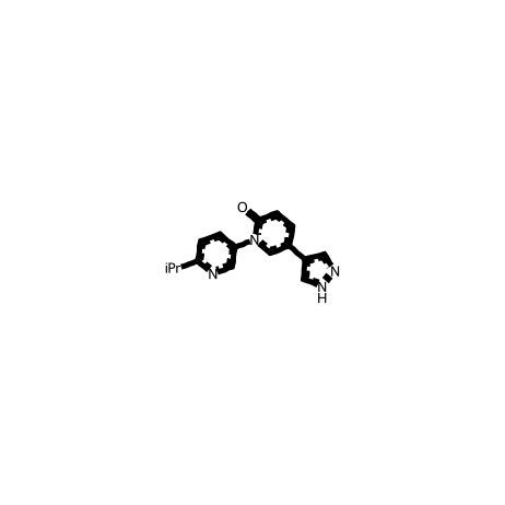 CC(C)c1ccc(-n2cc(-c3cn[nH]c3)ccc2=O)cn1